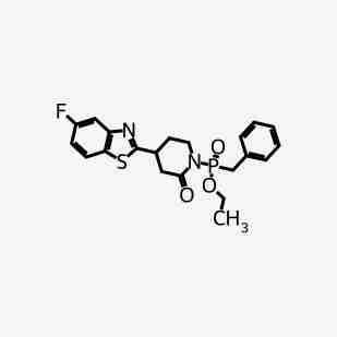 CCOP(=O)(Cc1ccccc1)N1CCC(c2nc3cc(F)ccc3s2)CC1=O